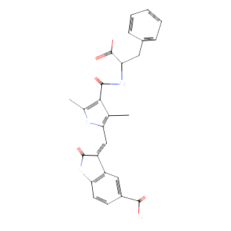 Cc1[nH]c(/C=C2\C(=O)Nc3ccc(C(=O)O)cc32)c(C)c1C(=O)NC(Cc1ccccc1)C(=O)O